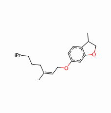 CC(=CCOc1ccc2c(c1)OCC2C)CCCC(C)C